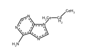 Nc1ncnc2c1nc[n]2[GeH2][GeH2][GeH3]